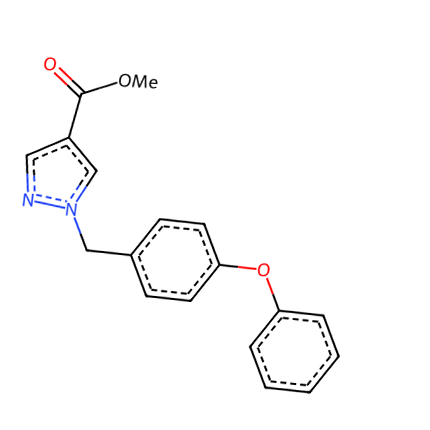 COC(=O)c1cnn(Cc2ccc(Oc3ccccc3)cc2)c1